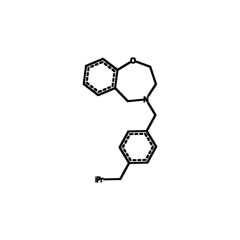 CC(C)Cc1ccc(CN2CCOc3ccccc3C2)cc1